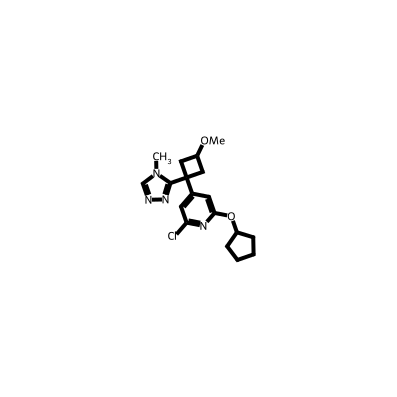 COC1CC(c2cc(Cl)nc(OC3CCCC3)c2)(c2nncn2C)C1